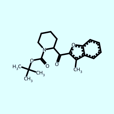 Cc1c(C(=O)C2CCCCN2C(=O)OC(C)(C)C)oc2ccccc12